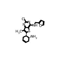 Cc1c([C@@H]2CC=CC[C@H]2N)sc2c(NCc3ccco3)nc(Cl)nc12